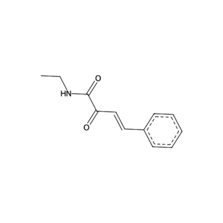 CCNC(=O)C(=O)/C=C/c1ccccc1